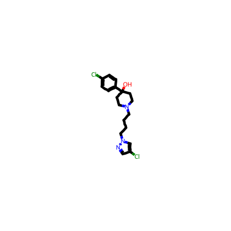 OC1(c2ccc(Cl)cc2)CCN(CCCCn2cc(Cl)cn2)CC1